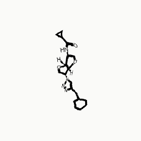 O=C(N[C@H]1CO[C@H]2[C@@H]1OC[C@@H]2n1cc(CC2CCCCC2)nn1)C1CC1